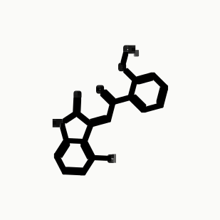 COc1ccccc1C(=O)C=C1C(=O)Nc2cccc(Cl)c21